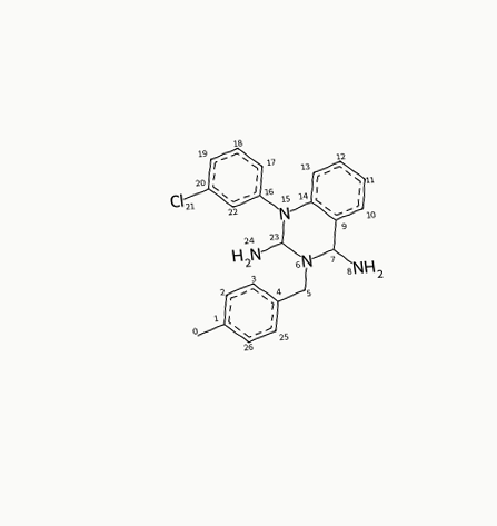 Cc1ccc(CN2C(N)c3ccccc3N(c3cccc(Cl)c3)C2N)cc1